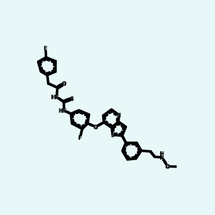 CONCCc1cccc(-c2cc3nccc(Oc4ccc(NC(=S)NC(=O)Cc5ccc(F)cc5)cc4F)c3s2)c1